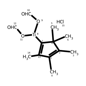 CC1=C(C)C(C)(C)[C]([Ti]([O]C=O)[O]C=O)=C1C.Cl